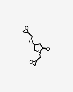 O=C1CC(OCC2CO2)CN1CC1CO1